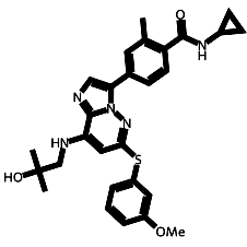 COc1cccc(Sc2cc(NCC(C)(C)O)c3ncc(-c4ccc(C(=O)NC5CC5)c(C)c4)n3n2)c1